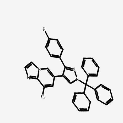 Fc1ccc(-c2nn(C(c3ccccc3)(c3ccccc3)C3C=CC=CC3)cc2-c2cc(Cl)c3nccn3c2)cc1